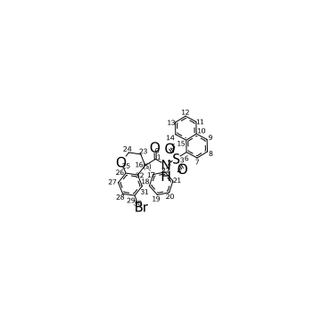 O=C(NS(=O)(=O)c1cccc2ccccc12)[C@]1(c2ccccc2)CCOc2ccc(Br)cc21